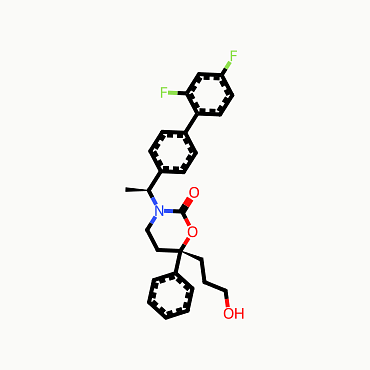 C[C@@H](c1ccc(-c2ccc(F)cc2F)cc1)N1CC[C@@](CCCO)(c2ccccc2)OC1=O